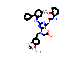 COc1ccccc1NC(=O)Nc1nc(Nc2ccccc2-c2ccccc2)nc(N(CC(=O)O)Cc2ccc(OC)c(OC)c2)n1